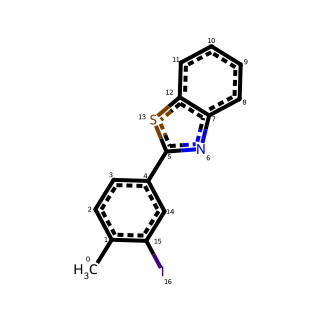 Cc1ccc(-c2nc3ccccc3s2)cc1I